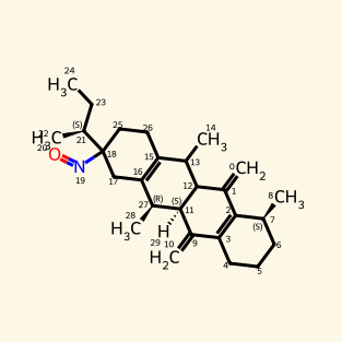 C=C1C2=C(CCC[C@@H]2C)C(=C)[C@@H]2C1C(C)C1=C(CC(N=O)([C@@H](C)CC)CC1)[C@@H]2C